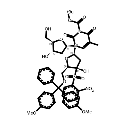 COc1ccc(C(OC[C@H]2O[C@@H]([N+]3([C@H]4C[C@H](O)[C@@H](CO)O4)C=C(C)C(=O)N(C(=O)OC(C)(C)C)C3=O)C[C@]2(O)S(=O)(=O)c2ccccc2[N+](=O)[O-])(c2ccccc2)c2ccc(OC)cc2)cc1